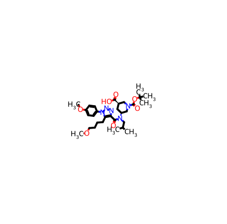 COCCCCc1c(C(=O)N(CC(C)C)[C@H]2C[C@@H](C(=O)O)CN(C(=O)OC(C)(C)C)C2)nnn1-c1ccc(OC)cc1